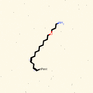 CCCCC/C=C\C/C=C\CCCCCCCCOCCCN